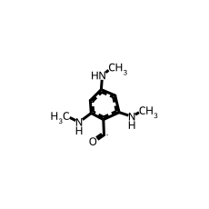 CNc1cc(NC)c([C]=O)c(NC)c1